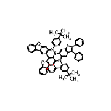 CC(C)(C)c1ccc(N2B3c4cc5sc(-c6ccccc6)c(-c6ccccc6)c5cc4N(c4ccc(C(C)(C)C)cc4-c4ccccc4)c4cc5c(oc6ccccc65)c(c43)-c3cc4c(cc32)oc2ccccc24)cc1